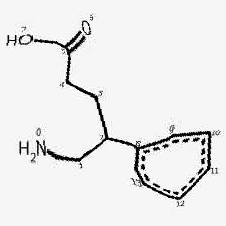 NCC(CCC(=O)O)c1ccccc1